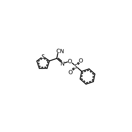 N#C/C(=N\OS(=O)(=O)c1ccccc1)c1cccs1